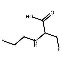 O=C(O)C(CF)NCCF